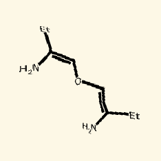 CCC(N)=COC=C(N)CC